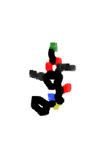 COc1cc(C(=O)c2csc(-c3ccccc3)n2)cc(OC)c1OC(=O)CCl